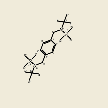 CC(C)(C)N(Cc1ccc(CN(C(C)(C)C)[Si](C)(C)C)cc1)[Si](C)(C)C